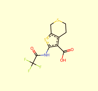 O=C(O)c1c(NC(=O)C(F)(F)F)sc2c1CCSC2